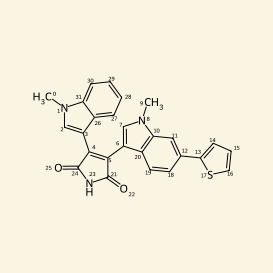 Cn1cc(C2=C(c3cn(C)c4cc(-c5cccs5)ccc34)C(=O)NC2=O)c2ccccc21